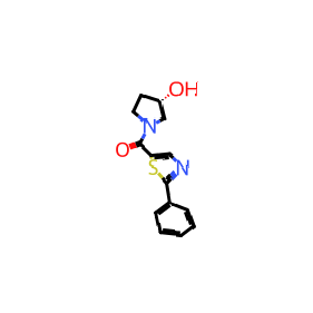 O=C(c1cnc(-c2ccccc2)s1)N1CC[C@H](O)C1